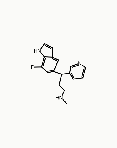 CNCCC(c1cccnc1)c1cc(F)c2[nH]ccc2c1